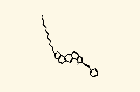 CCCCCCCCCCCCc1cc2ccc3cc4c(ccc5cc(C#Cc6ccccc6)sc54)cc3c2s1